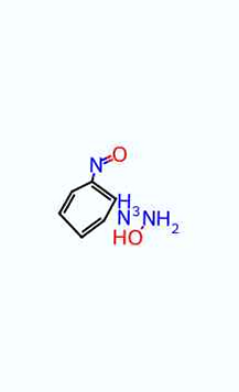 N.NO.O=Nc1ccccc1